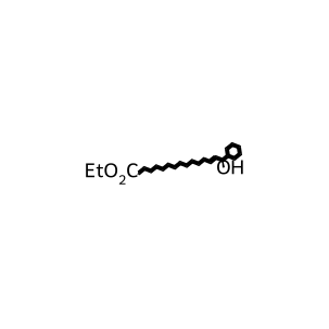 CCOC(=O)CCCCCCCCCCCCC=C[C@H](O)C1CCCCC1